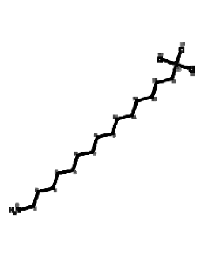 NCCCCCCCCCCCCCCC[Si](Cl)(Cl)Cl